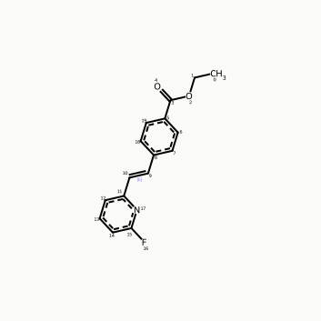 CCOC(=O)c1ccc(/C=C/c2cccc(F)n2)cc1